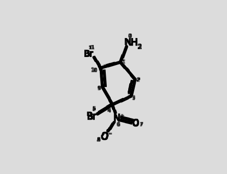 NC1C=CC(Br)([N+](=O)[O-])C=C1Br